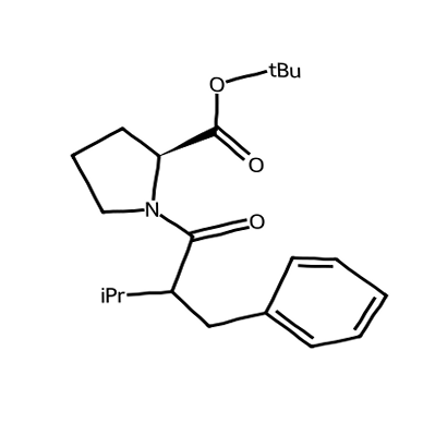 CC(C)C(Cc1ccccc1)C(=O)N1CCC[C@H]1C(=O)OC(C)(C)C